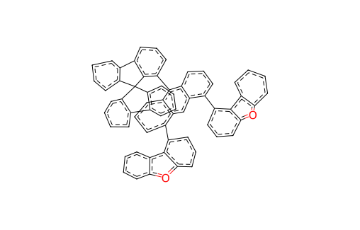 c1ccc2c(c1)-c1ccccc1C21c2ccccc2-c2cccc(-c3c4cccc(-c5cccc6oc7ccccc7c56)c4cc4c(-c5cccc6oc7ccccc7c56)cccc34)c21